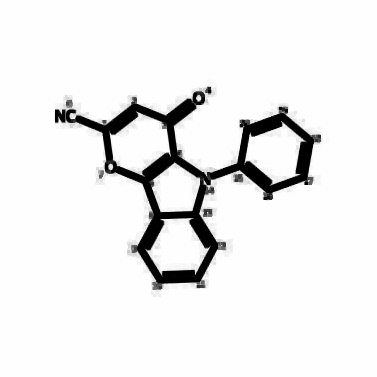 N#Cc1cc(=O)c2c(o1)c1ccccc1n2-c1ccccc1